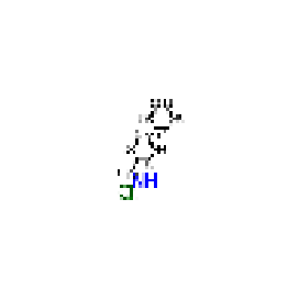 C[C@@H](NCl)c1ccc(-c2ccccc2)cc1